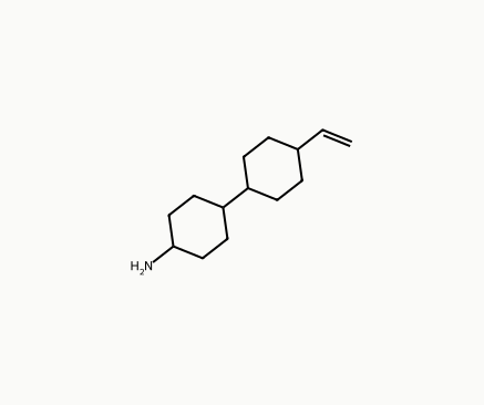 C=CC1CCC(C2CCC(N)CC2)CC1